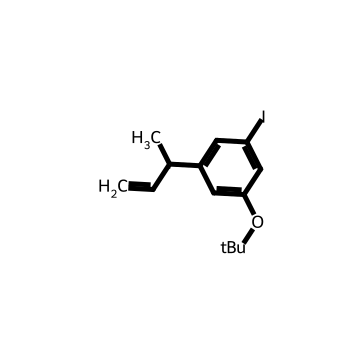 C=C[C](C)c1cc(I)cc(OC(C)(C)C)c1